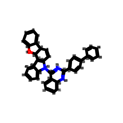 C1=CC2c3ccccc3OC2c2c1n(-c1nc(-c3ccc(-c4ccccc4)cc3)nc3ccccc13)c1ccccc21